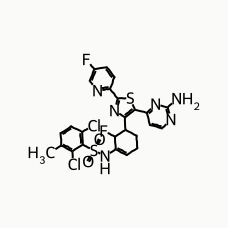 Cc1ccc(Cl)c(S(=O)(=O)NC2=CCCC(c3nc(-c4ccc(F)cn4)sc3-c3ccnc(N)n3)C2F)c1Cl